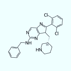 Clc1cccc(Cl)c1C1=Nc2cnc(NCc3ccccc3)nc2C1C[C@@H]1CCCNC1